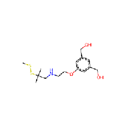 CSSC(C)(C)CNCCOc1cc(CO)cc(CO)c1